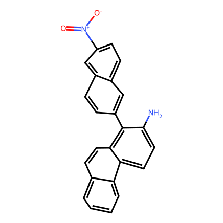 Nc1ccc2c(ccc3ccccc32)c1-c1ccc2cc([N+](=O)[O-])ccc2c1